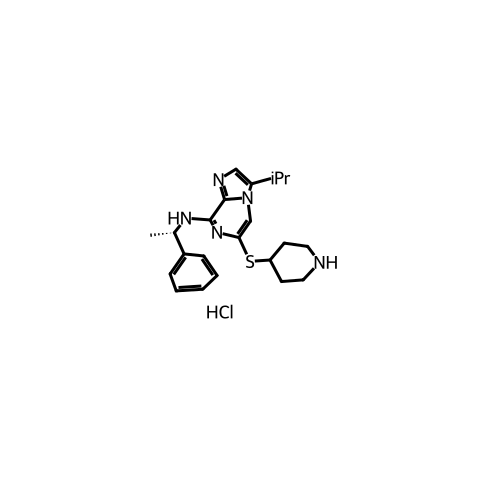 CC(C)c1cnc2c(N[C@@H](C)c3ccccc3)nc(SC3CCNCC3)cn12.Cl